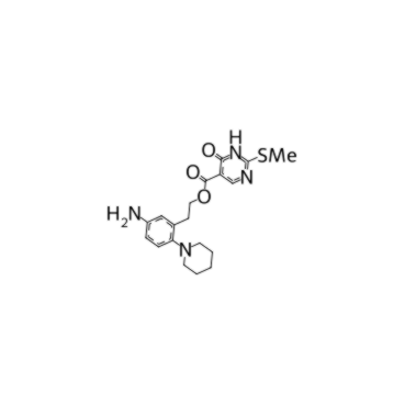 CSc1ncc(C(=O)OCCc2cc(N)ccc2N2CCCCC2)c(=O)[nH]1